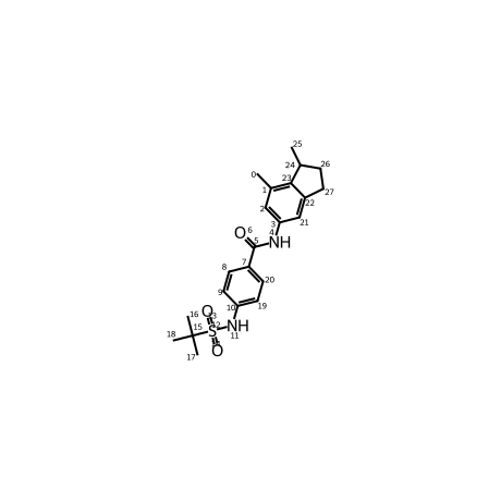 Cc1cc(NC(=O)c2ccc(NS(=O)(=O)C(C)(C)C)cc2)cc2c1C(C)CC2